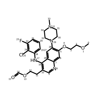 COCCOc1cc2ncc(CCOC=O)c(Nc3cccc(F)c3Cl)c2cc1N1CCN(C)CC1